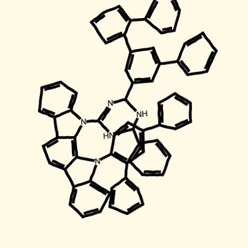 c1ccc(-c2cc(-c3ccccc3-c3ccccc3)cc(C3N=C(n4c5ccccc5c5ccc6c7ccccc7n(-c7ccc(-c8ccccc8)cc7-c7ccccc7)c6c54)NC(c4ccccc4)N3)c2)cc1